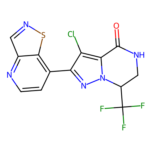 O=C1NCC(C(F)(F)F)n2nc(-c3ccnc4cnsc34)c(Cl)c21